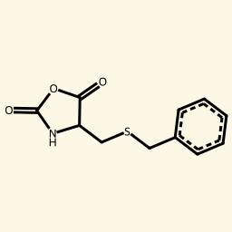 O=C1NC(CSCc2ccccc2)C(=O)O1